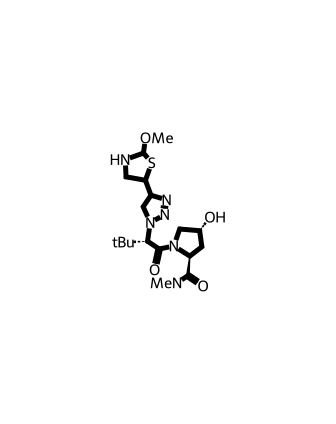 CNC(=O)[C@@H]1C[C@@H](O)CN1C(=O)[C@@H](N1CC(C2CNC(OC)S2)N=N1)C(C)(C)C